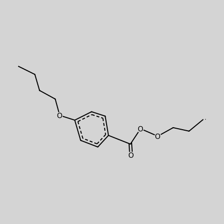 [CH2]CCOOC(=O)c1ccc(OCCCC)cc1